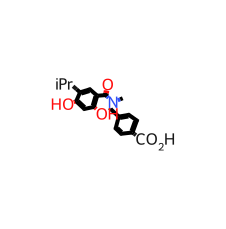 CC(C)c1cc(C(=O)N(C)Cc2ccc(C(=O)O)cc2)c(O)cc1O